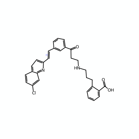 O=C(CCNCCCc1ccccc1C(=O)O)c1cccc(/C=C/c2ccc3ccc(Cl)cc3n2)c1